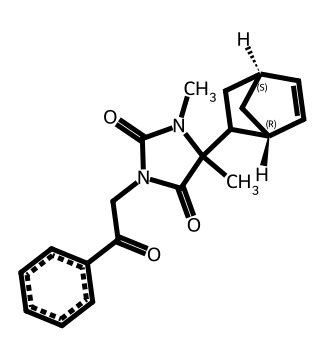 CN1C(=O)N(CC(=O)c2ccccc2)C(=O)C1(C)C1C[C@H]2C=C[C@H]1C2